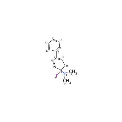 CN(C)C1(I)C=CC(c2ccccc2)=CC1